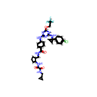 O=C(NCC1CC1)C(=O)NC1CCCC1CNC(=O)c1ccc(Nc2nc(NC3(c4ccc(Cl)cc4)CC3)nc(OCC(F)(F)F)n2)cc1